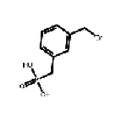 O=P(O)(O)Cc1cccc(CBr)c1